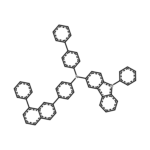 c1ccc(-c2ccc(N(c3ccc(-c4ccc5cccc(-c6ccccc6)c5c4)cc3)c3ccc4c(c3)c3ccccc3n4-c3ccccc3)cc2)cc1